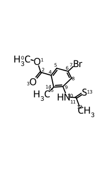 COC(=O)c1cc(Br)cc(NC(C)=S)c1C